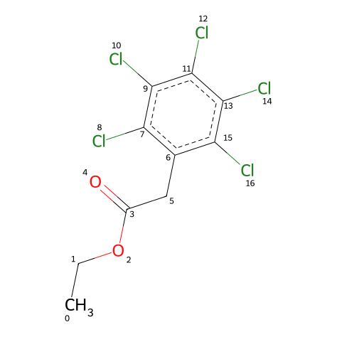 CCOC(=O)Cc1c(Cl)c(Cl)c(Cl)c(Cl)c1Cl